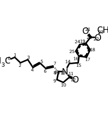 CCCCC=CC=C[C@H]1CCC(=O)N1CCc1ccc(C(=O)OC)cc1